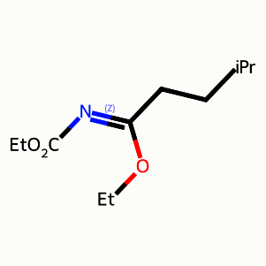 CCOC(=O)/N=C(/CCC(C)C)OCC